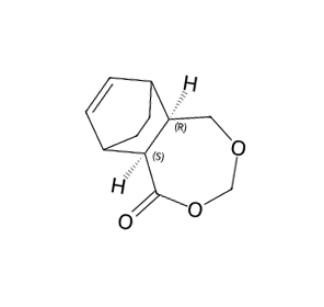 O=C1OCOC[C@@H]2C3C=CC(CC3)[C@H]12